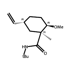 C=C[C@@H]1CC[C@@H](OC)[C@@](C)(C(=O)NC(C)(C)C)C1